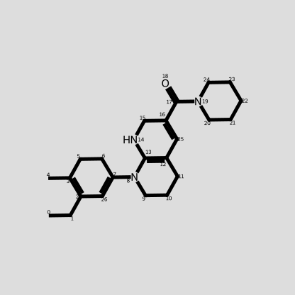 CCC1=C(C)CCC(N2CCCC3=C2NCC(C(=O)N2CCCCC2)=C3)=C1